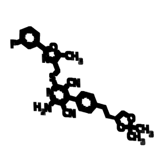 Cc1oc(-c2cccc(F)c2)nc1CSc1nc(N)c(C#N)c(-c2ccc(CC[C@H]3COC(C)(C)O3)cc2)c1C#N